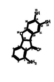 Nc1cccc2c1C(=O)C1c3cc(S)c(S)cc3OC21